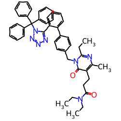 CCc1nc(C)c(CCC(=O)N(CC)CC)c(=O)n1Cc1ccc(-c2ccccc2-c2nnnn2C(c2ccccc2)(c2ccccc2)c2ccccc2)cc1